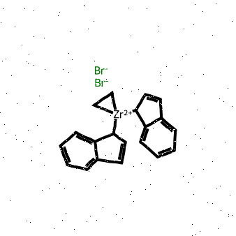 C1=C[CH]([Zr+2]2([CH]3C=Cc4ccccc43)[CH2][CH2]2)c2ccccc21.[Br-].[Br-]